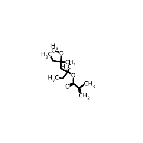 C=C(C)C(=O)OC(C)(CC)CC(C)(CC)OC